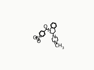 CN1CCN(C2Cc3ccccc3N(C(=O)c3ccc([N+](=O)[O-])cc3)C2)CC1